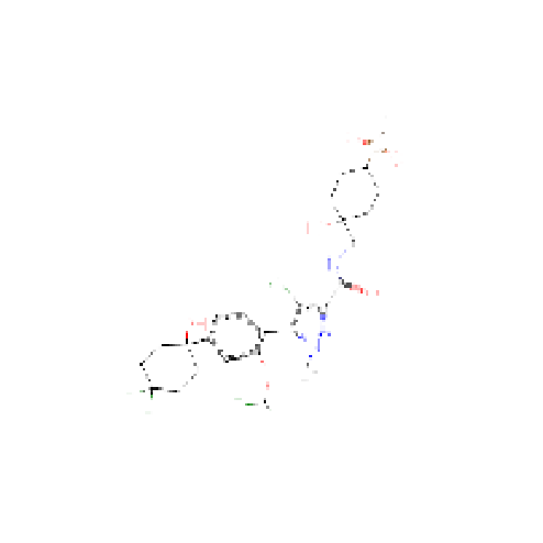 CCn1nc(C(=O)NCC2(O)CCC(S(C)(=O)=O)CC2)c(Cl)c1-c1ccc(C2(O)CCC(F)(F)CC2)cc1OC(F)F